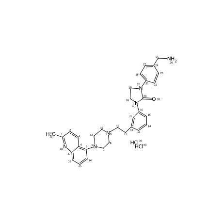 Cc1ccc2c(N3CCN(CCc4cccc(N5CCN(c6ccc(CN)cc6)C5=O)c4)CC3)cccc2n1.Cl.Cl